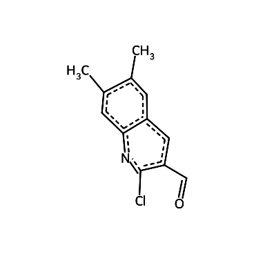 Cc1cc2cc(C=O)c(Cl)nc2cc1C